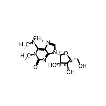 CN(C)c1c2ncn([C@@H]3O[C@H](CO)[C@@H](O)[C@H]3O)c2nc(=O)n1C